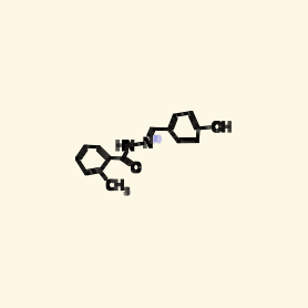 Cc1ccccc1C(=O)N/N=C/c1ccc(O)cc1